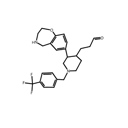 O=CCCC1CCN(Cc2ccc(C(F)(F)F)cc2)CC1c1ccc2c(c1)CNCCO2